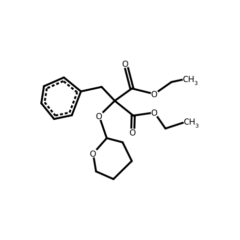 CCOC(=O)C(Cc1ccccc1)(OC1CCCCO1)C(=O)OCC